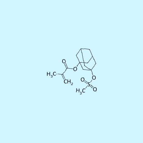 C=C(C)C(=O)OC12CC3CC(C1)CC(OS(C)(=O)=O)(C3)C2